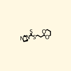 S=C(SCCC1OCCCO1)n1ccnc1